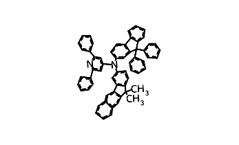 CC1(C)c2ccc(N(c3cc(-c4ccccc4)nc(-c4ccccc4)c3)c3ccc4c(c3)C(c3ccccc3)(c3ccccc3)c3ccccc3-4)cc2-c2cc3ccccc3cc21